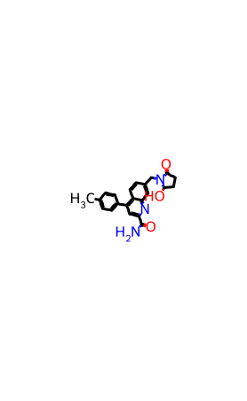 Cc1ccc(-c2cc(C(N)=O)nc3cc(CN4C(=O)CCC4O)ccc23)cc1